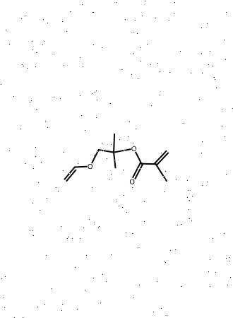 C=COCC(C)(C)OC(=O)C(=C)C